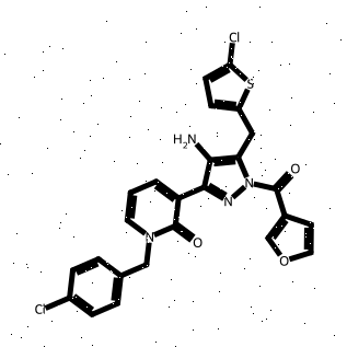 Nc1c(-c2cccn(Cc3ccc(Cl)cc3)c2=O)nn(C(=O)c2ccoc2)c1Cc1ccc(Cl)s1